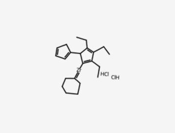 CCC1=C(CC)C(C2=CC=CC2)[C]([Zr]=[C]2CCCCC2)=C1CC.Cl.Cl